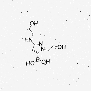 OCCNc1cc(B(O)O)n(CCO)n1